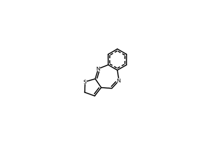 C1=Nc2ccccc2N=C2SCC=C12